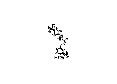 CC(CCc1ccc(O)c(C(F)(F)F)c1)NCc1ccc(C(F)(F)F)cc1